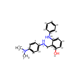 CN(C)c1ccc(NCc2c(O)cccc2Nc2ccccc2)cc1